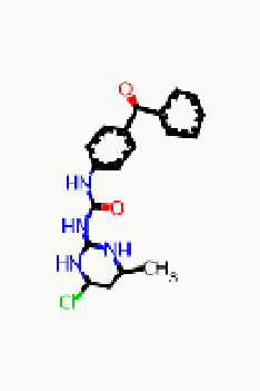 CC1CC(Cl)NC(NC(=O)Nc2ccc(C(=O)c3ccccc3)cc2)N1